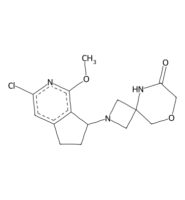 COc1nc(Cl)cc2c1C(N1CC3(COCC(=O)N3)C1)CC2